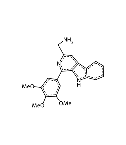 COc1cc(-c2nc(CN)cc3c2[nH]c2ccccc23)cc(OC)c1OC